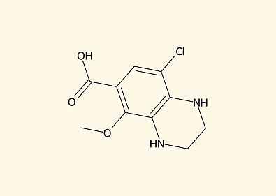 COc1c(C(=O)O)cc(Cl)c2c1NCCN2